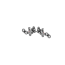 CCC1(COc2ccc(C3(c4ccc(F)cc4)c4ccccc4-c4ccc(N(c5ccc(-c6ccc(N(c7ccc8c(c7)C(c7ccc(F)cc7)(c7ccc(OCC9(CC)COC9)cc7)c7ccccc7-8)c7cccc8c7oc7ccccc78)cc6)cc5)c5cccc6c5oc5ccccc56)cc43)cc2)COC1